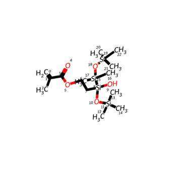 C=C(C)C(=O)OCC[Si](O)(O[Si](C)(C)C)[Si](C)(C)O[Si](C)(C)C